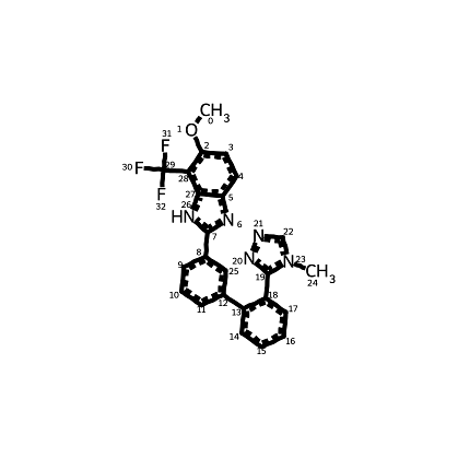 COc1ccc2nc(-c3cccc(-c4ccccc4-c4nncn4C)c3)[nH]c2c1C(F)(F)F